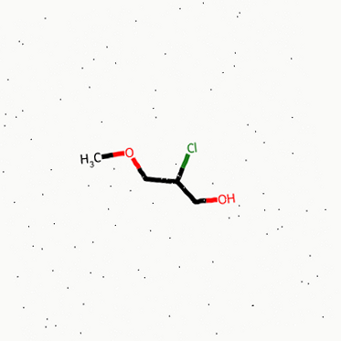 COCC(Cl)CO